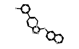 Fc1cccc(C2=CCn3c(nnc3Sc3ccc4ncccc4c3)C=C2)c1